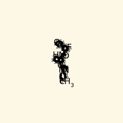 CN1CCN(c2nccc(Oc3ccc(NC(=O)c4cc(F)cc(N5CCOCC5)c4)c4ccccc34)n2)CC1